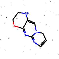 C1=CN=C2N=C3OCCNC3=CN2C1